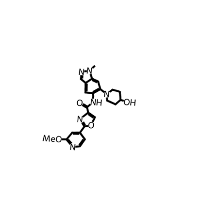 COc1cc(-c2nc(C(=O)Nc3cc4cnn(C)c4cc3N3CCC(O)CC3)co2)ccn1